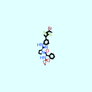 COC(=O)N[C@@H](C(=O)N1CCC[C@H]1c1nc2ccc(-c3csc4c(Br)csc34)cc2[nH]1)c1ccccc1